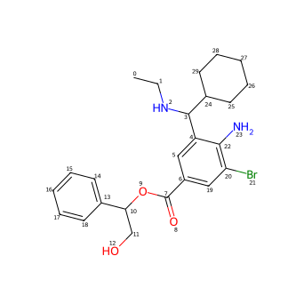 CCNC(c1cc(C(=O)OC(CO)c2ccccc2)cc(Br)c1N)C1CCCCC1